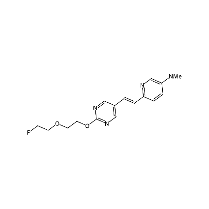 CNc1ccc(C=Cc2cnc(OCCOCCF)nc2)nc1